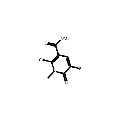 COC(=O)c1cc(F)c(=O)n(C)c1Cl